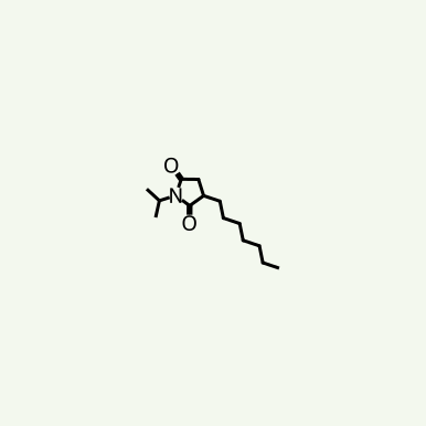 CCCCCCCC1CC(=O)N(C(C)C)C1=O